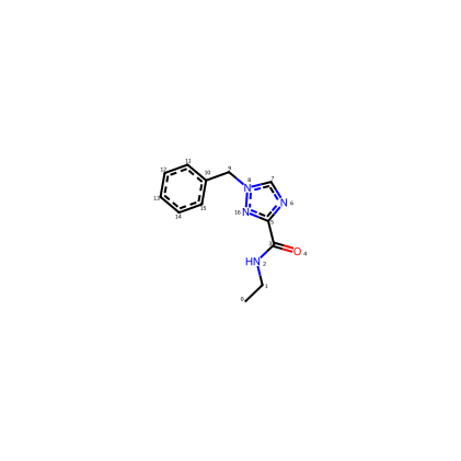 CCNC(=O)c1ncn(Cc2ccccc2)n1